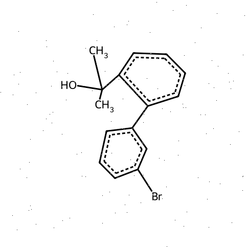 CC(C)(O)c1ccccc1-c1cccc(Br)c1